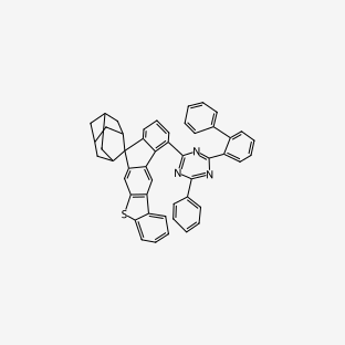 c1ccc(-c2nc(-c3ccccc3-c3ccccc3)nc(-c3cccc4c3-c3cc5c(cc3C43C4CC6CC(C4)CC3C6)sc3ccccc35)n2)cc1